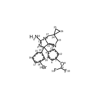 NC1=NC(c2ccc(OC(F)F)cc2)(c2cccc(Br)c2)C2=NCC3(CC3)CN12